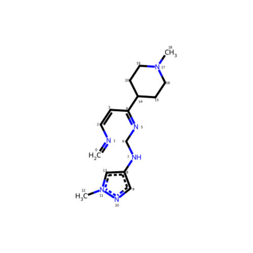 C=N/C=C\C(=N/CNc1cnn(C)c1)C1CCN(C)CC1